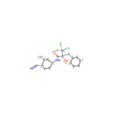 N#Cc1ccc(NC(=O)C(O)(Cc2ccccc2)C(F)(F)F)cc1Cl